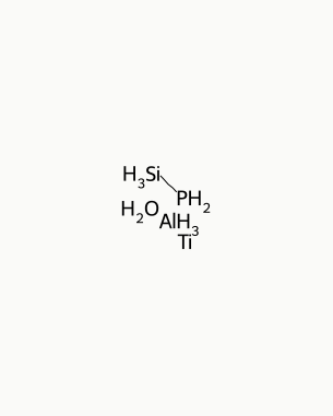 O.[AlH3].[SiH3]P.[Ti]